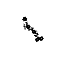 O=C(NS(=O)(=O)c1ccc(NCCSc2ccccc2)c([N+](=O)[O-])c1)c1ccc(N2CCN(Cc3ccccc3-c3ccccc3)CC2)c(F)c1